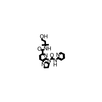 CC(C)(CCO)NC(=O)c1ccc2c(n1)N(C(=O)Nc1ccccn1)C1CCN2C1